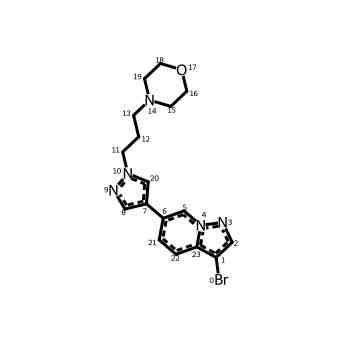 Brc1cnn2cc(-c3cnn(CCCN4CCOCC4)c3)ccc12